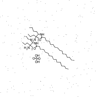 CCCCCCCCCCCCCCCC(=O)NC(CCCC)C(N)(CC)CCC.CCCCCCCCCCCCCCCC(=O)NC(CCCC)C(N)(CC)CCC.O=S(=O)(O)O